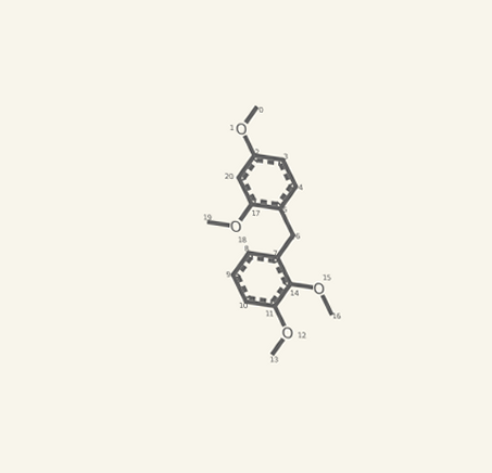 COc1ccc([CH]c2cccc(OC)c2OC)c(OC)c1